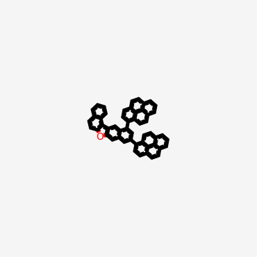 c1ccc2c(c1)ccc1oc3cc4cc(-c5ccc6ccc7cccc8ccc5c6c78)cc(-c5ccc6ccc7cccc8ccc5c6c78)c4cc3c12